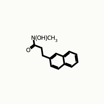 CN(O)C(=O)CCc1ccc2ccccc2c1